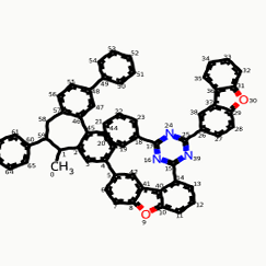 CC1c2cc(-c3ccc4oc5cccc(-c6nc(-c7ccccc7)nc(-c7ccc8oc9ccccc9c8c7)n6)c5c4c3)ccc2-c2cc(-c3ccccc3)ccc2CC1c1ccccc1